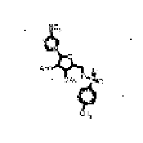 CC(=O)OC1C(COS(=O)(=O)c2ccc(C)cc2)OC(n2cnc([N+](=O)[O-])c2)C1OC(C)=O